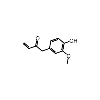 C=CC(=O)Cc1ccc(O)c(OC)c1